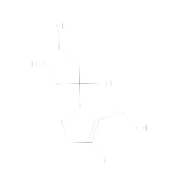 CCCC(C)(CC)c1csc(F)c1OC